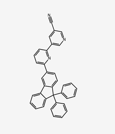 N#Cc1cncc(-c2cccc(-c3ccc4c(c3)-c3ccccc3C4(c3ccccc3)c3ccccc3)n2)c1